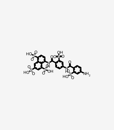 Nc1ccc(C(=O)Nc2ccc(C(=O)Nc3ccc(S(=O)(=O)O)c4cc(S(=O)(=O)O)cc(S(=O)(=O)O)c34)c(S(=O)(=O)O)c2)c(S(=O)(=O)O)c1